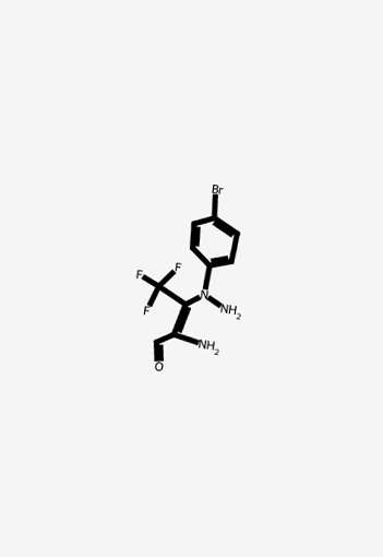 N/C(C=O)=C(\N(N)c1ccc(Br)cc1)C(F)(F)F